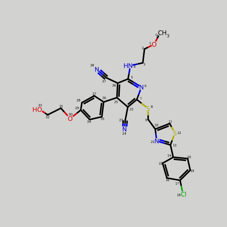 COCCNc1nc(SCc2csc(-c3ccc(Cl)cc3)n2)c(C#N)c(-c2ccc(OCCO)cc2)c1C#N